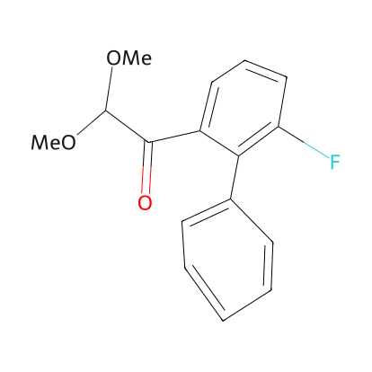 COC(OC)C(=O)c1cccc(F)c1-c1ccccc1